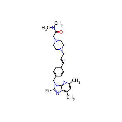 CCc1nc2c(C)cc(C)nc2n1Cc1ccc(/C=C/CN2CCN(CC(=O)N(C)C)CC2)cc1